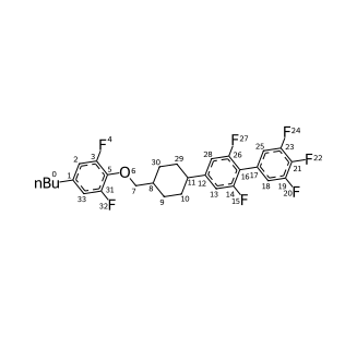 CCCCc1cc(F)c(OCC2CCC(c3cc(F)c(-c4cc(F)c(F)c(F)c4)c(F)c3)CC2)c(F)c1